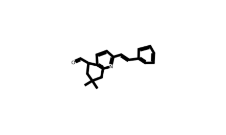 CC1(C)Cc2nc(C=Cc3ccccc3)ccc2C(C=O)C1